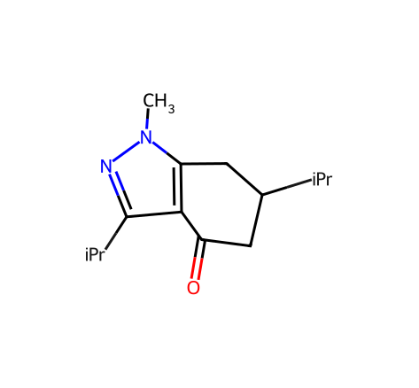 CC(C)c1nn(C)c2c1C(=O)CC(C(C)C)C2